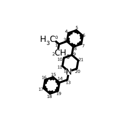 CC(C)c1ccccc1C1CCN(Cc2ccccc2)CC1